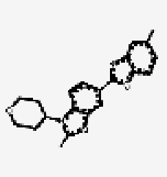 Cc1ccc2oc(-c3ccc4c(c3)nc(C)n4C3CCOCC3)nc2c1